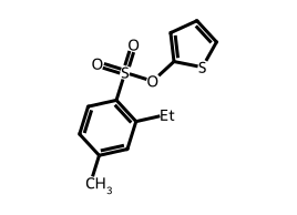 CCc1cc(C)ccc1S(=O)(=O)Oc1cccs1